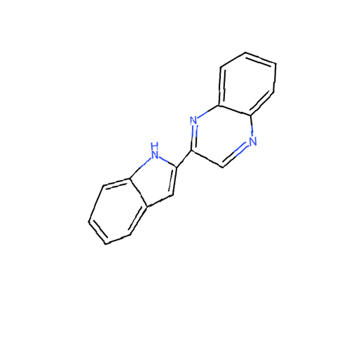 c1ccc2[nH]c(-c3cnc4ccccc4n3)cc2c1